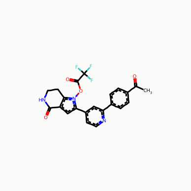 CC(=O)c1ccc(-c2cc(-c3cc4c(n3OC(=O)C(F)(F)F)CCNC4=O)ccn2)cc1